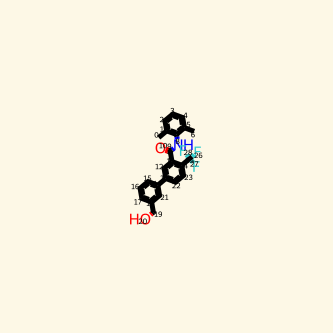 Cc1cccc(C)c1NC(=O)c1cc(-c2cccc(CO)c2)ccc1C(F)(F)F